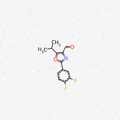 CC(C)c1oc(-c2ccc(F)c(F)c2)nc1C=O